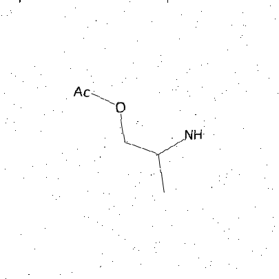 CC(=O)OCC(C)[NH]